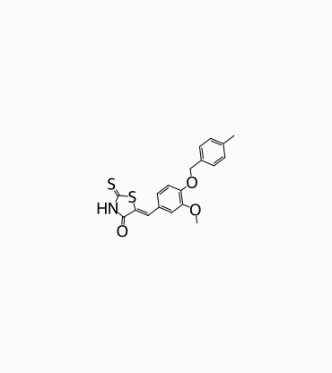 COc1cc(/C=C2\SC(=S)NC2=O)ccc1OCc1ccc(C)cc1